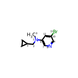 CN(C[C]1CC1)c1cncc(Br)c1